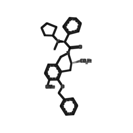 CCOC(=O)[C@@H]1Cc2c(ccc(OC)c2OCc2ccccc2)CN1C(=O)[C@H](c1ccccc1)N(C)C1CCCC1